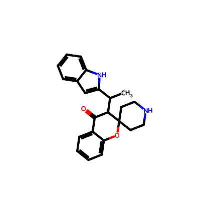 CC(c1cc2ccccc2[nH]1)C1C(=O)c2ccccc2OC12CCNCC2